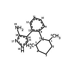 CC1CCCC(C)N1c1ccccc1-c1c[nH]nc1N